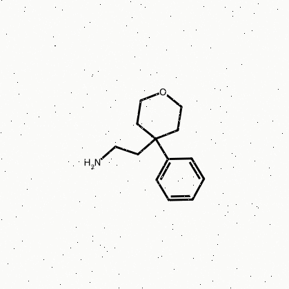 NCCC1(c2ccccc2)CCOCC1